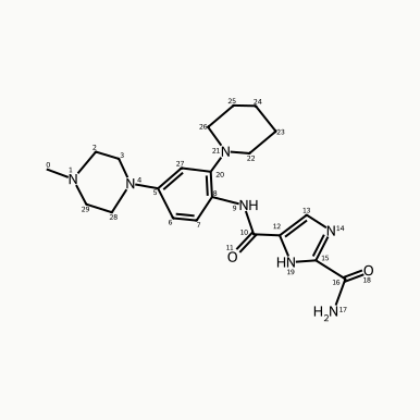 CN1CCN(c2ccc(NC(=O)c3cnc(C(N)=O)[nH]3)c(N3CCCCC3)c2)CC1